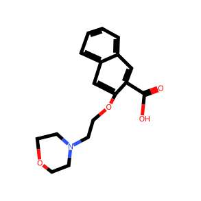 O=C(O)c1cc2ccccc2cc1OCCN1CCOCC1